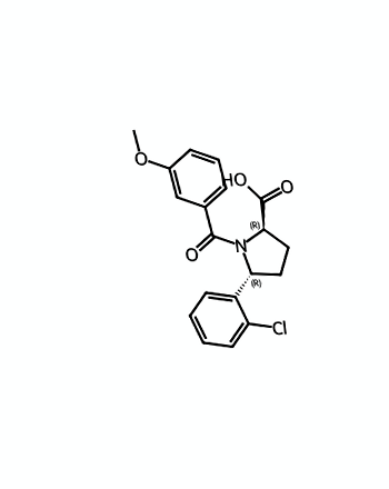 COc1cccc(C(=O)N2[C@@H](C(=O)O)CC[C@@H]2c2ccccc2Cl)c1